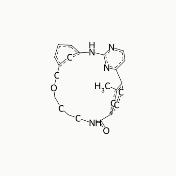 Cc1cc2ccc1-c1ccnc(n1)Nc1cccc(c1)COCCCCNC2=O